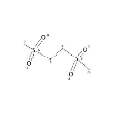 CS(=O)(=O)CCS(C)(=O)=O